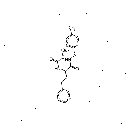 CC(C)(C)OC(=O)NC(CCc1ccccc1)C(=O)NNc1ccc(C(F)(F)F)cn1